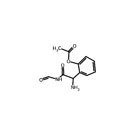 CC(=O)Oc1ccccc1C(N)C(=O)NC=O